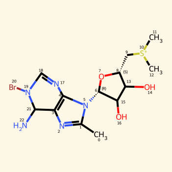 Cc1nc2c(n1[C@@H]1O[C@H](C[S+](C)C)C(O)C1O)N=CN(Br)C2N